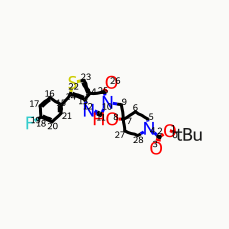 CC(C)(C)OC(=O)N1CCC(O)(Cn2cnc3c(-c4ccc(F)cc4)scc3c2=O)CC1